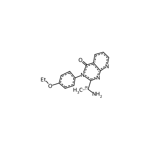 CCOc1ccc(-n2c([C@@H](C)N)nc3ncccc3c2=O)cc1